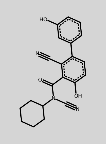 N#Cc1c(-c2cccc(O)c2)ccc(O)c1C(=O)N(C#N)C1CCCCC1